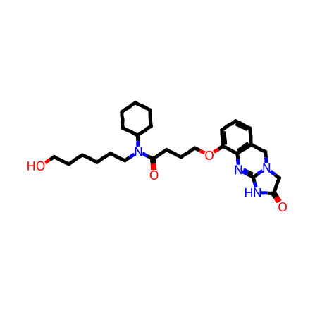 O=C1CN2Cc3cccc(OCCCC(=O)N(CCCCCCO)C4CCCCC4)c3N=C2N1